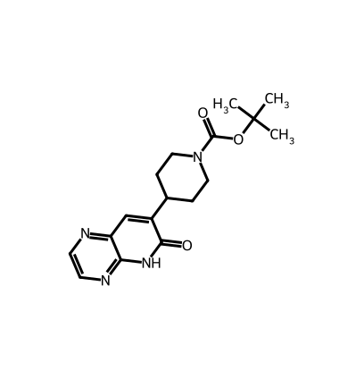 CC(C)(C)OC(=O)N1CCC(c2cc3nccnc3[nH]c2=O)CC1